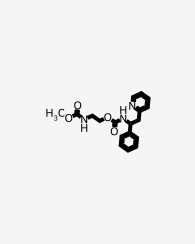 COC(=O)NCCOC(=O)NC(Cc1ccccn1)c1ccccc1